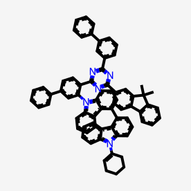 CC1(C)c2ccccc2-c2ccc(-c3nc(-c4cccc(-c5ccccc5)c4)nc(-c4ccc(-c5ccccc5)cc4-n4c5ccccc5c5c(-c6cccc7c6c6ccccc6n7C6=CCCCC6)cccc54)n3)cc21